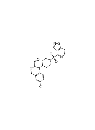 O=CC1OCc2cc(Cl)ccc2N1C1CCN(S(=O)(=O)c2nccc3sncc23)CC1